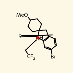 COC1CCC2(CC1)Cc1ccc(Br)cc1C21CN(CC(F)(F)F)C(=S)N1